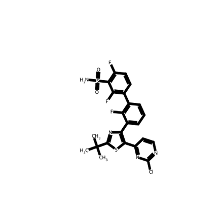 CC(C)(C)c1nc(-c2cccc(-c3ccc(F)c(S(N)(=O)=O)c3F)c2F)c(-c2ccnc(Cl)n2)s1